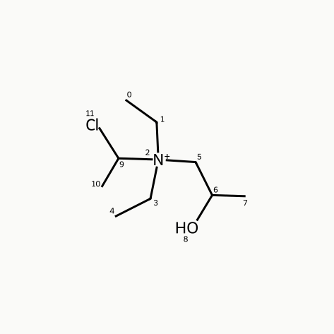 CC[N+](CC)(CC(C)O)C(C)Cl